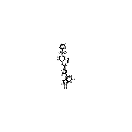 N#CCC(CN1CCN(S(=O)(=O)c2cccs2)CC1)n1cc(-c2ncnc3[nH]ccc23)cn1